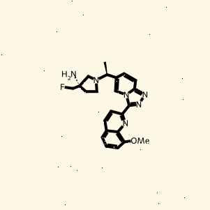 COc1cccc2ccc(-c3nnc4ccc([C@H](C)N5CC[C@@](N)(CF)C5)cn34)nc12